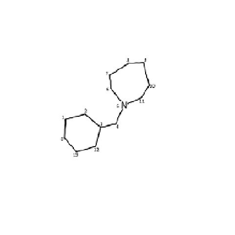 C1CCC(CN2CCCCCC2)CC1